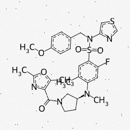 COc1ccc(CN(c2cscn2)S(=O)(=O)c2cc(C)c(N(C)[C@H]3CCN(C(=O)c4nc(C)oc4C)C3)cc2F)cc1